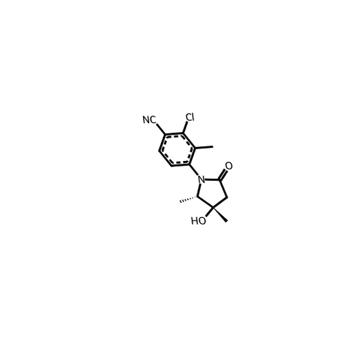 Cc1c(N2C(=O)C[C@](C)(O)[C@@H]2C)ccc(C#N)c1Cl